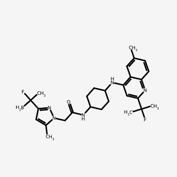 BC(C)(F)c1cc(C)n(CC(=O)NC2CCC(Nc3cc(C(C)(C)F)nc4ccc(C)cc34)CC2)n1